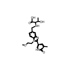 COCCn1c(-c2c[nH]c(=O)c(C)c2)nc2cc(CNC(C(=O)O)C(C)O)ccc21